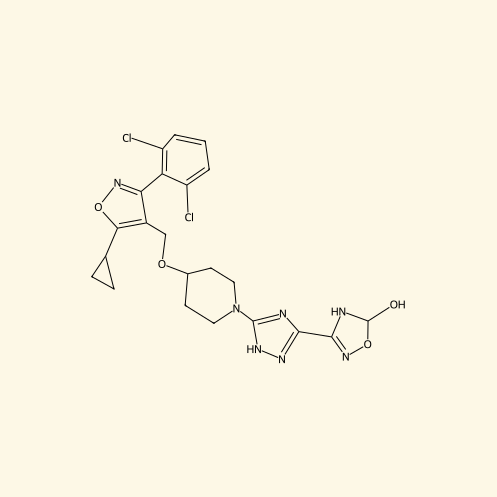 OC1NC(c2n[nH]c(N3CCC(OCc4c(-c5c(Cl)cccc5Cl)noc4C4CC4)CC3)n2)=NO1